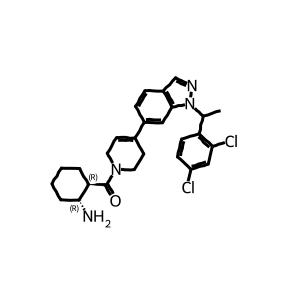 CC(c1ccc(Cl)cc1Cl)n1ncc2ccc(C3=CCN(C(=O)[C@@H]4CCCC[C@H]4N)CC3)cc21